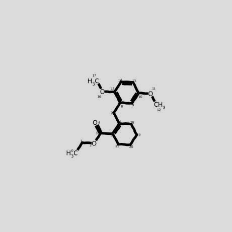 CCOC(=O)C1=C(Cc2cc(OC)ccc2OC)CCCC1